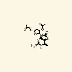 C=C1NC(N)=Nc2c1sc(=O)n2[C@@H]1O[C@H](COC(C)=O)C[C@H]1OC(C)=O